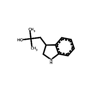 CC(C)(O)CC1CNc2ccccc21